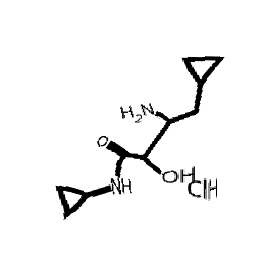 Cl.N[C@@H](CC1CC1)C(O)C(=O)NC1CC1